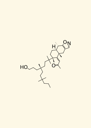 CCCC(C)(C)CC[C@](C)(CCCO)CCC(C)(C)[C@]1(C)CC[C@H]2[C@H](C)c3oncc3C[C@]2(C)/C1=C/C(C)=O